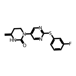 C=C1CCN(c2cnc(Sc3cccc(F)c3)nc2)C(=O)N1